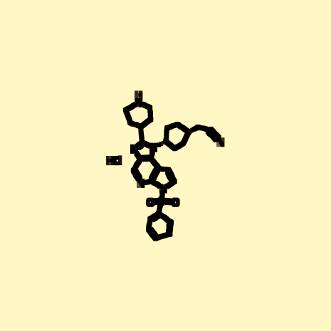 Cl.N#CC[C@H]1CC[C@H](n2c(C3CCNCC3)nc3cnc4c(ccn4S(=O)(=O)c4ccccc4)c32)CC1